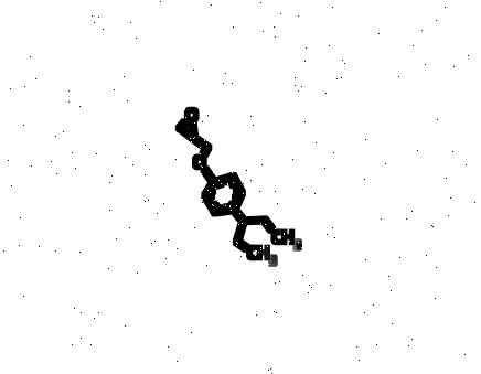 CCC(CC)c1ccc(OCC2CO2)cc1